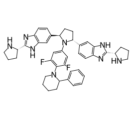 Fc1cc(N2[C@@H](c3ccc4nc([C@@H]5CCCN5)[nH]c4c3)CC[C@@H]2c2ccc3nc([C@@H]4CCCN4)[nH]c3c2)cc(F)c1N1CCCCC1c1ccccc1